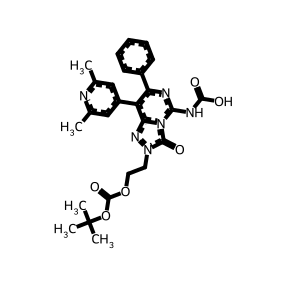 Cc1cc(-c2c(-c3ccccc3)nc(NC(=O)O)n3c(=O)n(CCOC(=O)OC(C)(C)C)nc23)cc(C)n1